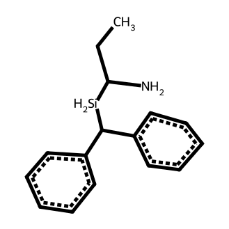 CCC(N)[SiH2]C(c1ccccc1)c1ccccc1